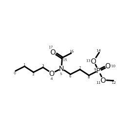 CCCCON(CCCP(=O)(OC)OC)C(C)=O